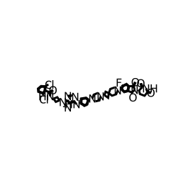 O=C1CC[C@H](N2C(=O)c3cc(F)c(N4CCC5(CC4)CC(N4CCN(c6ccc(Nc7ncnc8c7ncn8C7CC(NC(=O)c8c(Cl)cccc8Cl)C7)cc6)CC4)C5)cc3C2=O)C(=O)N1